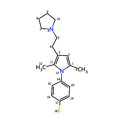 Cc1cc(CCN2CCCC2)c(C)n1-c1ccc(F)cc1